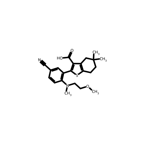 COCCN(C)c1ccc(C#N)cc1-c1sc2c(c1C(=O)O)CC(C)(C)CC2